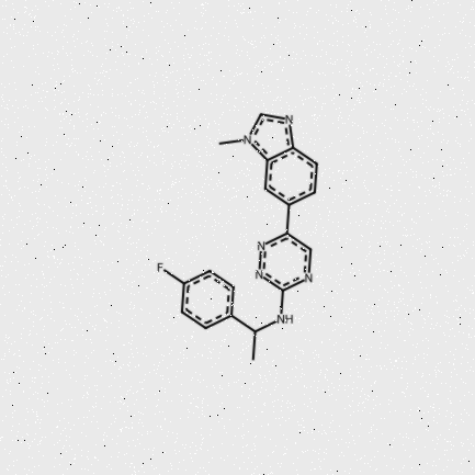 CC(Nc1ncc(-c2ccc3ncn(C)c3c2)nn1)c1ccc(F)cc1